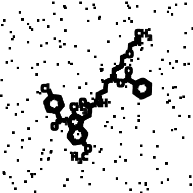 C=NCOCCCN(CCCNC(=O)Cc1c(C)n(C(=O)c2ccc(Cl)cc2)c2ccc(OC)cc12)OC(=O)c1ccccc1